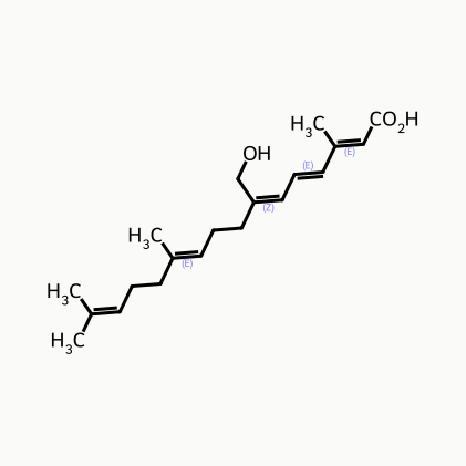 CC(C)=CCC/C(C)=C/CC/C(=C/C=C/C(C)=C/C(=O)O)CO